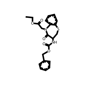 CCOC(=O)CN1C(=O)C(NC(=O)OCc2ccccc2)CSc2ccccc21